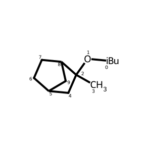 CCC(C)OC1(C)CC2CCC1C2